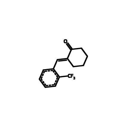 O=C1CCCCC1=Cc1ccccc1C(F)(F)F